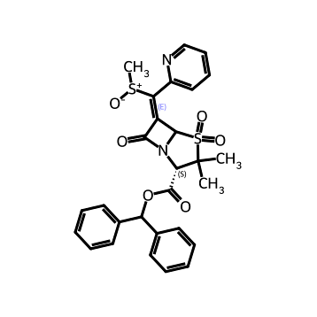 C[S+]([O-])/C(=C1\C(=O)N2C1S(=O)(=O)C(C)(C)[C@@H]2C(=O)OC(c1ccccc1)c1ccccc1)c1ccccn1